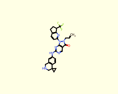 C=CCn1c(=O)c2cnc(Nc3ccc4c(c3)CNCC43CC3)nc2n1-c1ccc2c(n1)C(C(F)(F)F)CC2